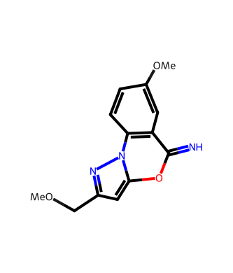 COCc1cc2oc(=N)c3cc(OC)ccc3n2n1